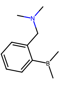 CB(C)c1ccccc1CN(C)C